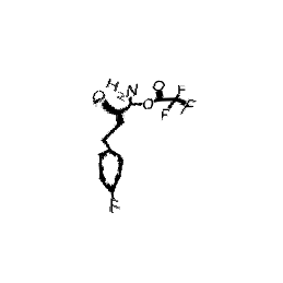 NC(OC(=O)C(F)(F)F)C(=O)CCc1ccc(F)cc1